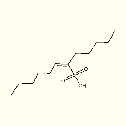 CCCCCC=C(CCCCC)S(=O)(=O)O